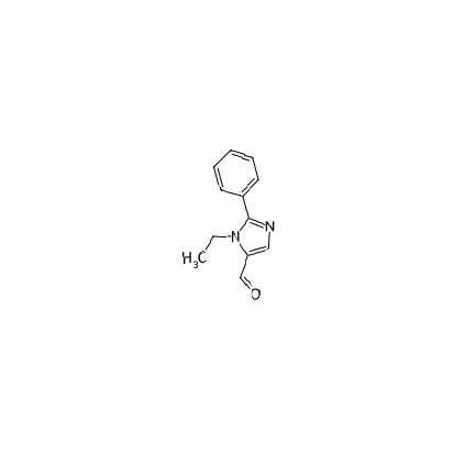 CCn1c(C=O)cnc1-c1ccccc1